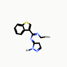 CNC/N=C(\N=C1/CC=NN1C(C)C)c1csc2ccccc12